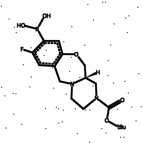 CC(C)(C)OC(=O)N1CCN2Cc3cc(F)c(B(O)O)cc3OC[C@H]2C1